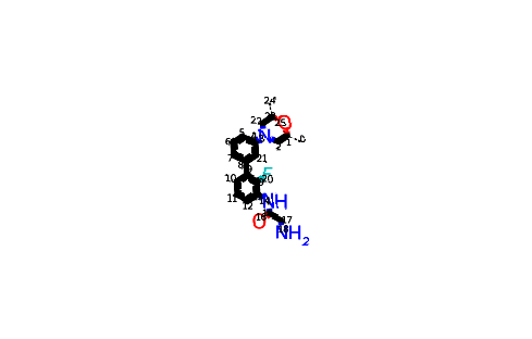 C[C@@H]1CN(c2cccc(-c3cccc(NC(=O)CN)c3F)c2)C[C@H](C)O1